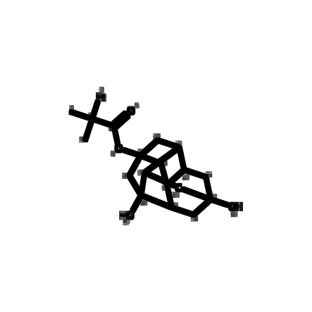 CCC(C)(C)C(=O)OC12CC3C4CC5(O)CC3C(O)(C1)C(C5)C4C2